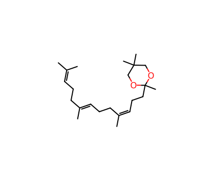 CC(C)=CCC/C(C)=C/CC/C(C)=C\CCC1(C)OCC(C)(C)CO1